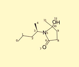 CCC[C@@H](C)N1C(=O)CCC1(C)O